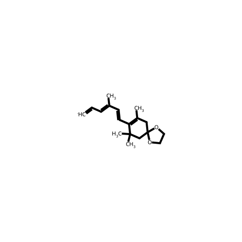 [CH]=CC=C(C)C=CC1=C(C)CC2(CC1(C)C)OCCO2